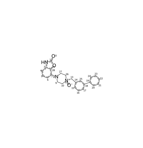 O=c1[nH]c2cccc(N3CC[N+]([O-])(Cc4cccc(-c5ccccc5)c4)CC3)c2o1